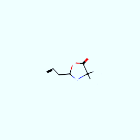 C=CCC1NC(C)(C)C(=O)O1